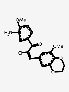 COc1ccc(C(=O)/C(Cl)=C\c2cc(OC)c3c(c2)OCCO3)cc1N